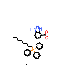 CCCCCCCC[P+](c1ccccc1)(c1ccccc1)c1ccccc1.O=C([O-])c1cccc2[nH]nnc12